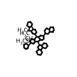 CC1(C)c2ccccc2-c2ccc(-c3c4cc(-c5ccc6ccccc6c5)ccc4c(-c4cc5ccccc5c5ccccc45)c4cc5c(cc34)[Si](C)(C)c3ccccc3-5)cc21